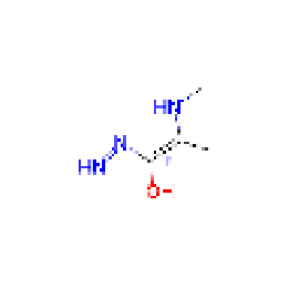 CN/C(C)=C(/O)N=N